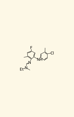 CCN(C)C=Nc1c(C)cc(F)cc1Nc1ccc(Cl)c(C)c1